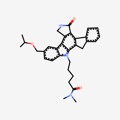 CC(C)OCc1ccc2c(c1)c1c3c(c4c(c1n2CCCCC(=O)N(C)C)Cc1ccccc1-4)C(=O)NC3